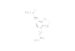 O=C(O)/C=C/c1ccc(/C=C/C(=O)O)c2c1OCCO2